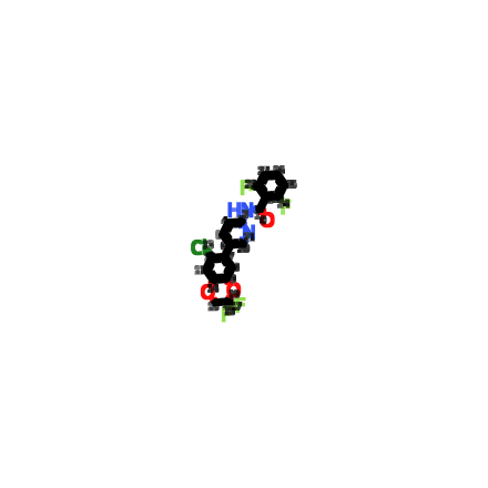 O=C(Nc1ccc(-c2cc3c(cc2Cl)OCC(F)(F)O3)cn1)c1c(F)cccc1F